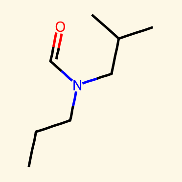 CCCN(C=O)CC(C)C